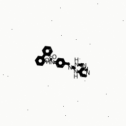 N#CN/C(=N\Cc1ccc(NS(=O)(=O)c2ccccc2-c2ccccc2)cc1)Nc1ccnnc1